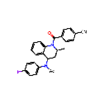 CC(=O)N(c1ccc(I)cc1)[C@@H]1C[C@H](C)N(C(=O)c2ccc(C#N)cc2)c2ccccc21